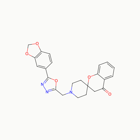 O=C1CC2(CCN(Cc3nnc(-c4ccc5c(c4)OCO5)o3)CC2)Oc2ccccc21